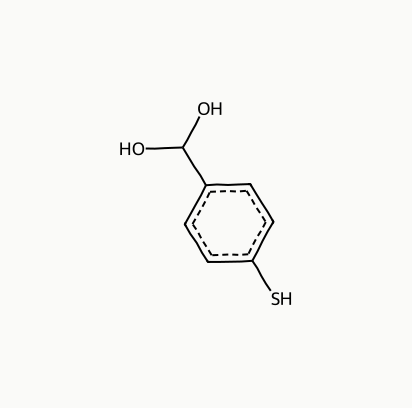 OC(O)c1ccc(S)cc1